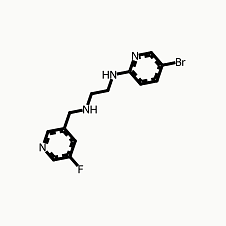 Fc1cncc(CNCCNc2ccc(Br)cn2)c1